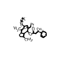 C/C(=C\C(=O)OC1C2C(C)CCC2C2(C)OC1(CC(C)C)CC2N=[N+]=[N-])c1ccccc1